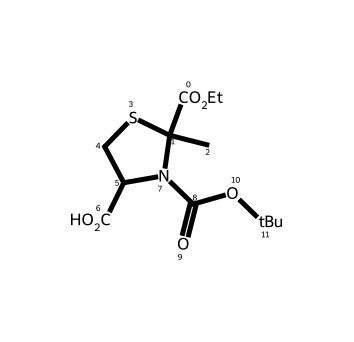 CCOC(=O)C1(C)SCC(C(=O)O)N1C(=O)OC(C)(C)C